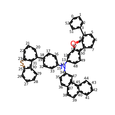 c1ccc(-c2cccc3c2oc2cc(N(c4ccc(-c5cccc6sc7ccccc7c56)cc4)c4ccc5ccc6ccccc6c5c4)ccc23)cc1